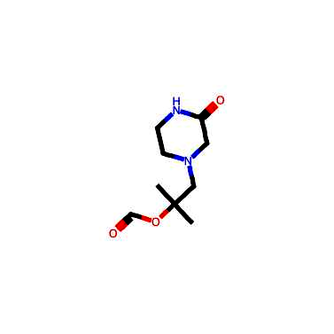 CC(C)(CN1CCNC(=O)C1)OC=O